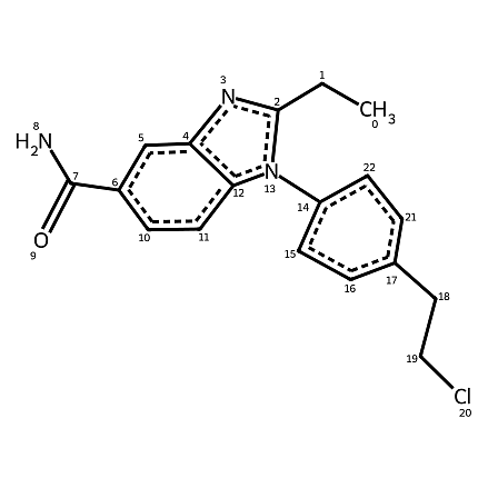 CCc1nc2cc(C(N)=O)ccc2n1-c1ccc(CCCl)cc1